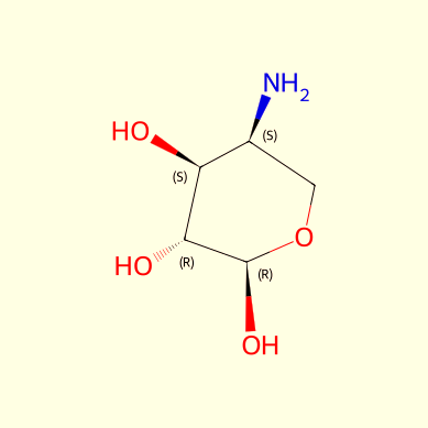 N[C@H]1CO[C@@H](O)[C@H](O)[C@H]1O